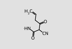 C=CCC(=O)C(C#N)C([NH])=O